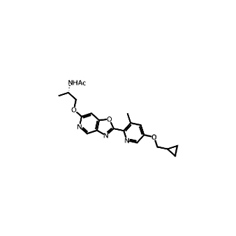 CC(=O)N[C@@H](C)COc1cc2oc(-c3ncc(OCC4CC4)cc3C)nc2cn1